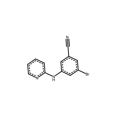 N#Cc1cc(Br)cc(Nc2ccccn2)c1